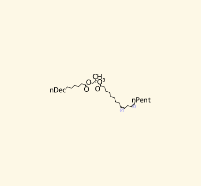 CCCCC/C=C\C/C=C\CCCCCCCC(=O)O[C](C)COC(=O)CCCCCCCCCCCCCCC